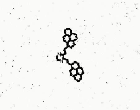 C(=Cc1ccc2ccc3cccc4ccc1c2c34)c1nccnc1C=Cc1ccc2ccc3cccc4ccc1c2c34